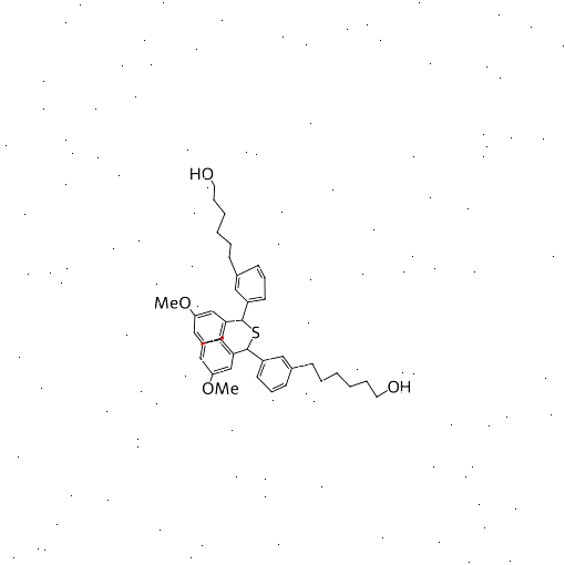 COc1cccc(C(SC(c2cccc(CCCCCCO)c2)c2cccc(OC)c2)c2cccc(CCCCCCO)c2)c1